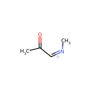 C/N=C\C(C)=O